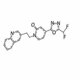 O=c1cc(-c2nnc(C(F)F)o2)ccn1CCc1cnc2ccccc2c1